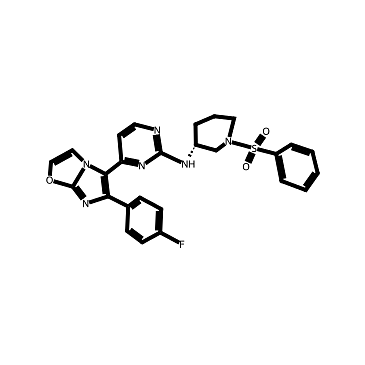 O=S(=O)(c1ccccc1)N1CCC[C@@H](Nc2nccc(-c3c(-c4ccc(F)cc4)nc4occn34)n2)C1